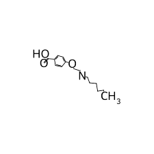 CCCCCCN=CCOc1ccc(C(=O)O)cc1